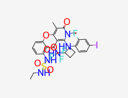 CCNS(=O)(=O)Nc1cccc(Oc2c(C(=O)NC3CCC3)c(Nc3ccc(I)cc3F)n(C)c(=O)c2C)c1OC(F)(F)F